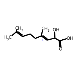 CC(C)=CCC/C(C)=C/C(O)C(=O)O